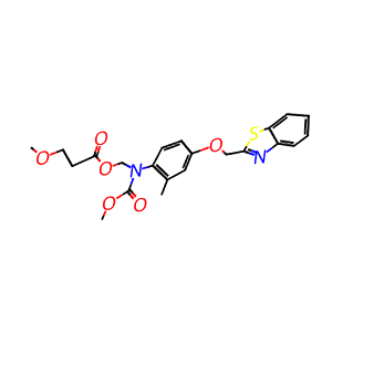 COCCC(=O)OCN(C(=O)OC)c1ccc(OCc2nc3ccccc3s2)cc1C